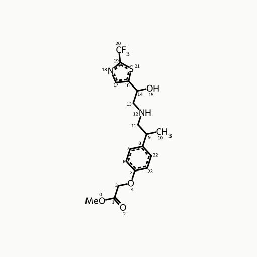 COC(=O)COc1ccc(C(C)CNCC(O)c2cnc(C(F)(F)F)s2)cc1